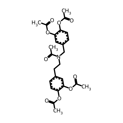 CC(=O)Oc1ccc(CCN(Cc2ccc(OC(C)=O)c(OC(C)=O)c2)C(C)=O)cc1OC(C)=O